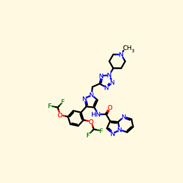 CN1CCC(n2nnc(Cn3cc(NC(=O)c4cnn5cccnc45)c(-c4cc(OC(F)F)ccc4OC(F)F)n3)n2)CC1